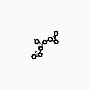 Cc1ccc(N(c2ccc(-c3ccc4c(c3)c3ccccc3n4-c3ccccc3)cc2)c2ccc(-c3cccc4c3sc3ccccc34)cc2)cc1